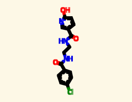 O=C(NCCNC(=O)c1ccc(O)nc1)c1ccc(Cl)cc1